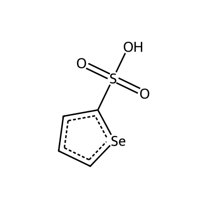 O=S(=O)(O)c1ccc[se]1